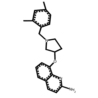 Cc1ccc(CN2CCC(Oc3cccc4ccc(N)nc34)C2)c(C)c1